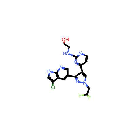 OCCNc1nccc(-c2cn(CC(F)F)nc2-c2cnc3[nH]cc(Cl)c3c2)n1